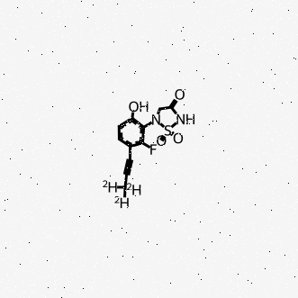 [2H]C([2H])([2H])C#Cc1ccc(O)c(N2CC(=O)NS2(=O)=O)c1F